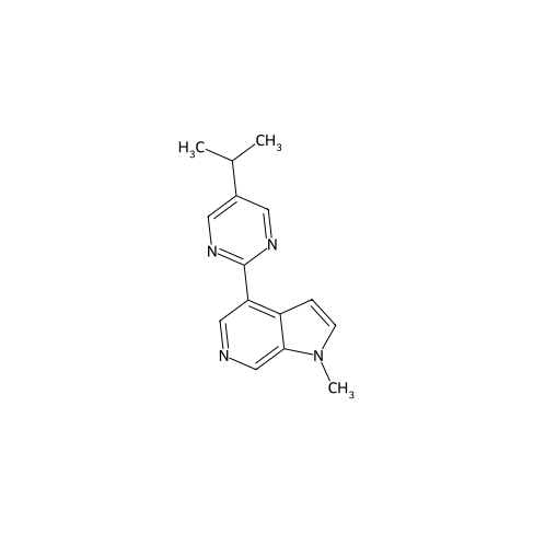 CC(C)c1cnc(-c2cncc3c2ccn3C)nc1